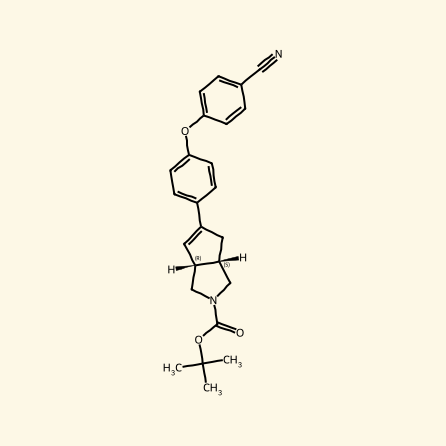 CC(C)(C)OC(=O)N1C[C@H]2CC(c3ccc(Oc4ccc(C#N)cc4)cc3)=C[C@H]2C1